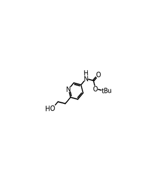 CC(C)(C)OC(=O)Nc1ccc(CCO)nc1